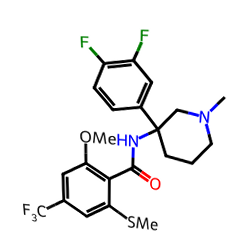 COc1cc(C(F)(F)F)cc(SC)c1C(=O)NC1(c2ccc(F)c(F)c2)CCCN(C)C1